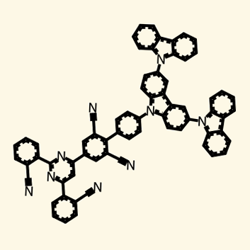 N#Cc1ccccc1-c1cc(-c2cc(C#N)c(-c3ccc(-n4c5ccc(-n6c7ccccc7c7ccccc76)cc5c5cc(-n6c7ccccc7c7ccccc76)ccc54)cc3)c(C#N)c2)nc(-c2ccccc2C#N)n1